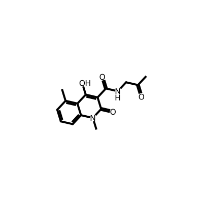 CC(=O)CNC(=O)c1c(O)c2c(C)cccc2n(C)c1=O